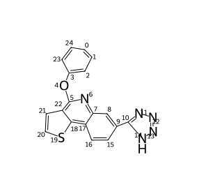 c1ccc(Oc2nc3cc(-c4nnn[nH]4)ccc3c3sccc23)cc1